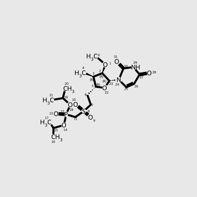 CO[C@@H]1[C@H](C)[C@@H](CCS(=O)(=O)CP(=O)(OC(C)C)OC(C)C)O[C@H]1n1ccc(=O)[nH]c1=O